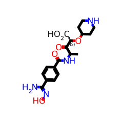 CC(NC(=O)c1ccc(C(N)=NO)cc1)C(=O)[C@H](OC1CCNCC1)C(=O)O